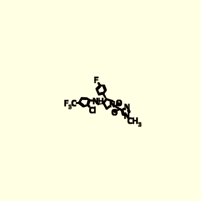 Cn1cnc(S(=O)(=O)N2C[C@H](CNc3ccc(C(F)(F)F)cc3Cl)[C@@H](c3ccc(F)cc3)C2)c1